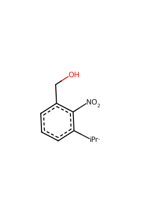 C[C](C)c1cccc(CO)c1[N+](=O)[O-]